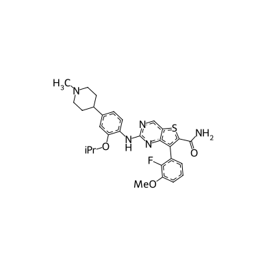 COc1cccc(-c2c(C(N)=O)sc3cnc(Nc4ccc(C5CCN(C)CC5)cc4OC(C)C)nc23)c1F